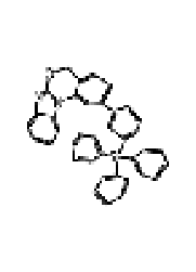 c1ccc([Si](c2ccccc2)(c2ccccc2)c2cccc(-c3ccc4c(c3)-n3c(nc5ccccc53)OC4)c2)cc1